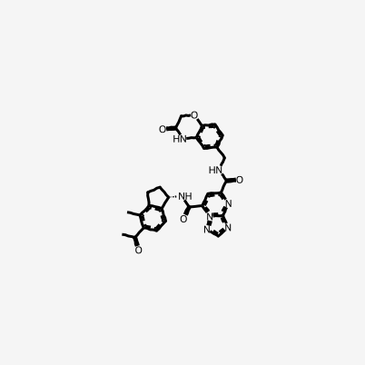 CC(=O)c1ccc2c(c1C)CC[C@@H]2NC(=O)c1cc(C(=O)NCc2ccc3c(c2)NC(=O)CO3)nc2ncnn12